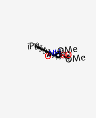 COC(=O)COc1ccc(CNC(=O)CCCC/C=C/C(C)C)cc1OC